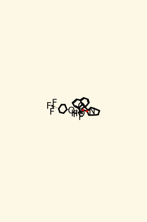 O=C(O)C1CC2CCC(C1)N2Cc1cccc2ccc(O[C@H]3CC[C@@H](C(F)(F)F)CC3)c(C(F)(F)F)c12